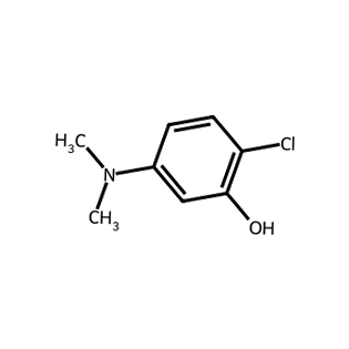 CN(C)c1ccc(Cl)c(O)c1